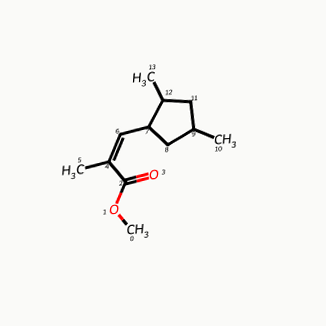 COC(=O)C(C)=CC1CC(C)CC1C